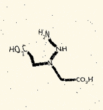 NNN(CC(=O)O)CC(=O)O